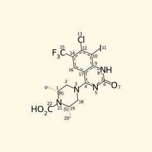 C[C@@H]1CN(c2nc(=O)[nH]c3c(I)c(Cl)c(C(F)(F)F)cc23)C[C@H](C)N1C(=O)O